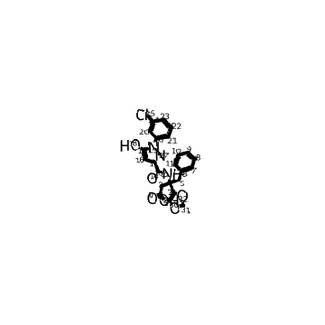 O=C(O)CC(Cc1ccccc1)(NC(=O)c1cc(O)n(-c2cccc(Cl)c2)n1)C1=COCO1